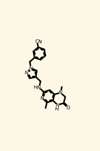 Cc1nc(NCc2cnn(Cc3cccc(C#N)c3)c2)cc2c1NC(=O)CN2C